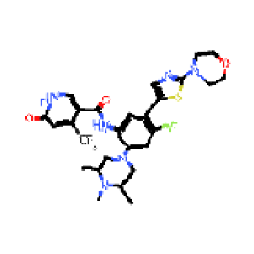 CC1CN(c2cc(F)c(-c3cnc(N4CCOCC4)s3)cc2NC(=O)c2c[nH]c(=O)cc2C(F)(F)F)CC(C)N1C